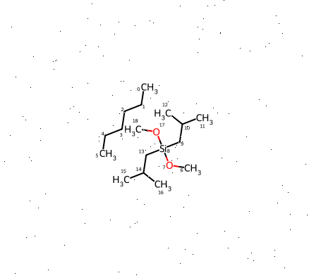 CCCCCC.CO[Si](CC(C)C)(CC(C)C)OC